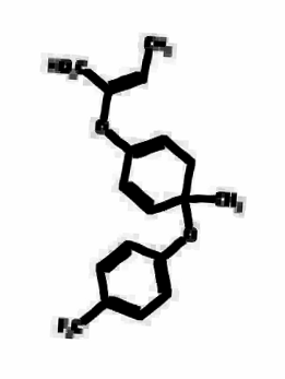 CC=C(OC1=CCC(C)(Oc2ccc(C(F)(F)F)cc2)C=C1)C(=O)O